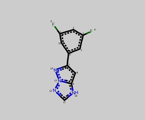 Fc1cc(F)cc(-c2cc3[nH][c]nn3n2)c1